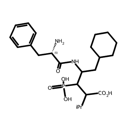 CC(C)C(C(=O)O)C(C(CC1CCCCC1)NC(=O)[C@@H](N)Cc1ccccc1)P(=O)(O)O